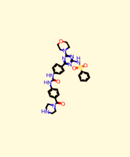 O=C(Nc1ccc(C(=O)N2CCNCC2)cc1)Nc1ccc(-c2nc(NS(=O)(=O)c3ccccc3)nc(N3CCOCC3)n2)cc1